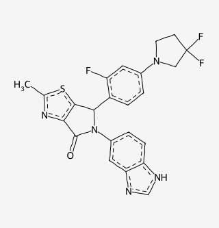 Cc1nc2c(s1)C(c1ccc(N3CCC(F)(F)C3)cc1F)N(c1ccc3[nH]cnc3c1)C2=O